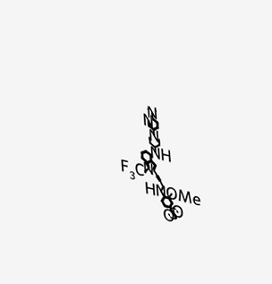 COc1cc(S(C)(=O)=O)ccc1NCC#Cc1cc2c(NC3CCN(c4ccc(N(C)C)nc4)CC3)cccc2n1CC(F)(F)F